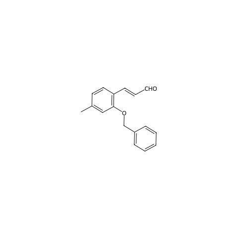 Cc1ccc(/C=C/C=O)c(OCc2ccccc2)c1